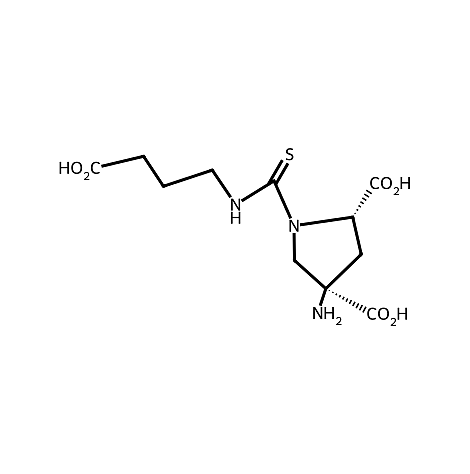 N[C@]1(C(=O)O)C[C@@H](C(=O)O)N(C(=S)NCCCC(=O)O)C1